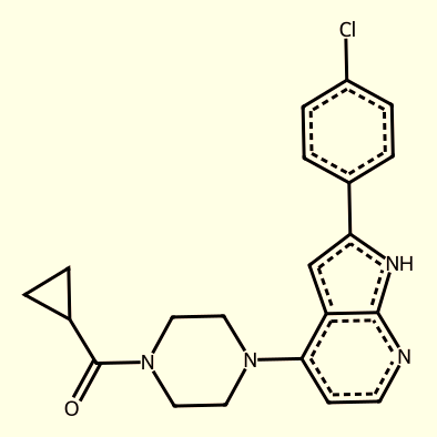 O=C(C1CC1)N1CCN(c2ccnc3[nH]c(-c4ccc(Cl)cc4)cc23)CC1